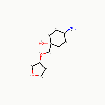 N[C@H]1CC[C@@](O)(CO[C@H]2CCOC2)CC1